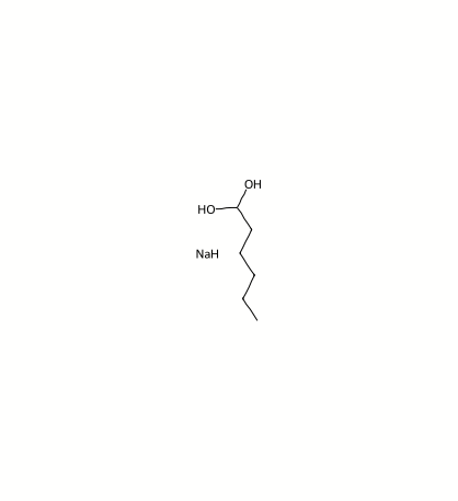 CCCCCC(O)O.[NaH]